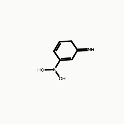 N=C1C=C(B(O)O)C=CC1